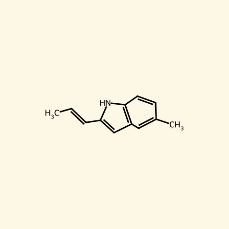 C/C=C/c1cc2cc(C)ccc2[nH]1